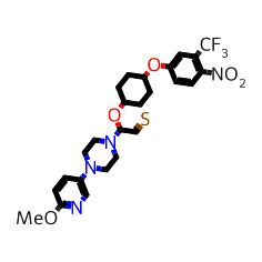 COc1ccc(N2CCN(C(C=S)OC3CCC(Oc4ccc([N+](=O)[O-])c(C(F)(F)F)c4)CC3)CC2)cn1